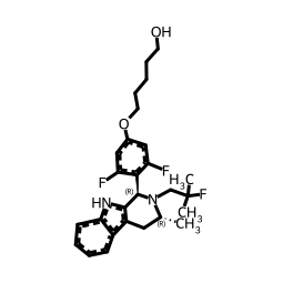 C[C@@H]1Cc2c([nH]c3ccccc23)[C@@H](c2c(F)cc(OCCCCCO)cc2F)N1CC(C)(C)F